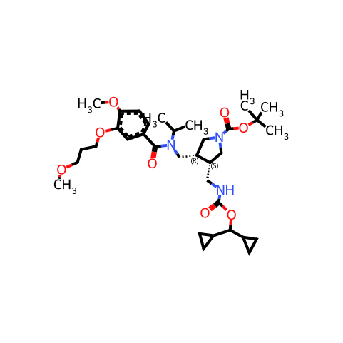 COCCCOc1cc(C(=O)N(C[C@@H]2CN(C(=O)OC(C)(C)C)C[C@@H]2CNC(=O)OC(C2CC2)C2CC2)C(C)C)ccc1OC